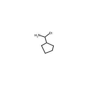 CCC(N)C1CCCC1